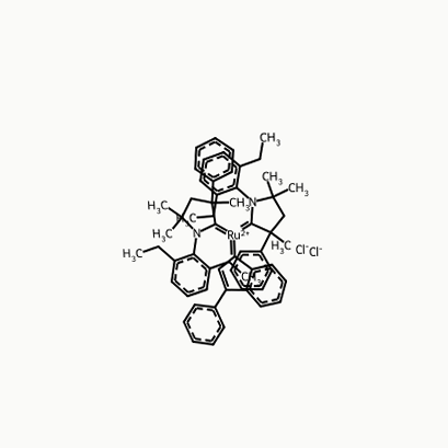 CCc1cccc(CC)c1N1[C](=[Ru+2](=[C]2C=C(c3ccccc3)c3ccccc32)=[C]2N(c3c(CC)cccc3CC)C(C)(C)CC2(C)c2ccccc2)C(C)(c2ccccc2)CC1(C)C.[Cl-].[Cl-]